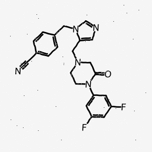 N#Cc1ccc(Cn2cncc2CN2CCN(c3cc(F)cc(F)c3)C(=O)C2)cc1